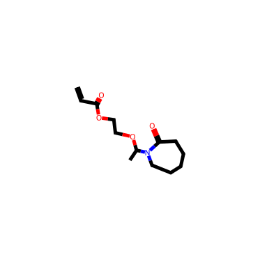 C=CC(=O)OCCOC(C)N1CCCCCC1=O